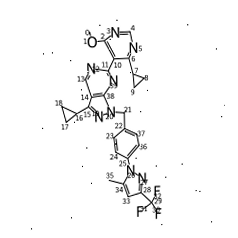 COc1ncnc(C2CC2)c1-c1ncc2c(C3CC3)nn(Cc3ccc(-n4nc(C(F)(F)F)cc4C)cc3)c2n1